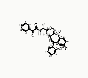 C[C@H](NC(=O)C(=O)c1ccccc1)C(=O)NC1N=C(c2ccccc2Cl)c2cc(Cl)ccc2N(C)C1=O